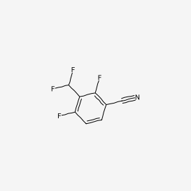 N#Cc1ccc(F)c(C(F)F)c1F